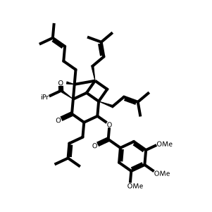 COc1cc(C(=O)OC2C(CC=C(C)C)C(=O)[C@@]3(C(=O)C(C)C)C4[C@]2(CC=C(C)C)C[C@@]4(CC=C(C)C)[C@@]3(C)CCC=C(C)C)cc(OC)c1OC